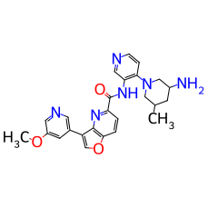 COc1cncc(-c2coc3ccc(C(=O)Nc4cnccc4N4CC(C)CC(N)C4)nc23)c1